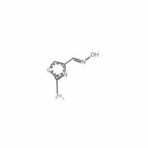 Cc1nc(C=NO)cs1